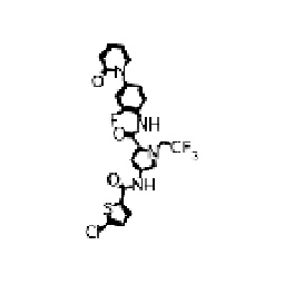 O=C(N[C@H]1C[C@@H](C(=O)Nc2ccc(-n3ccccc3=O)cc2F)N(CC(F)(F)F)C1)c1ccc(Cl)s1